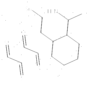 CC(N)C1CCCCC1C[CH2][Sn].O=CC=S.O=CC=S